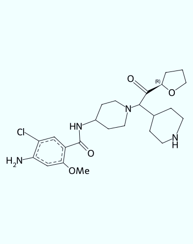 COc1cc(N)c(Cl)cc1C(=O)NC1CCN(C(C(=O)[C@H]2CCCO2)C2CCNCC2)CC1